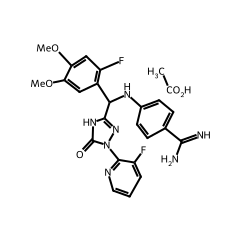 CC(=O)O.COc1cc(F)c(C(Nc2ccc(C(=N)N)cc2)c2nn(-c3ncccc3F)c(=O)[nH]2)cc1OC